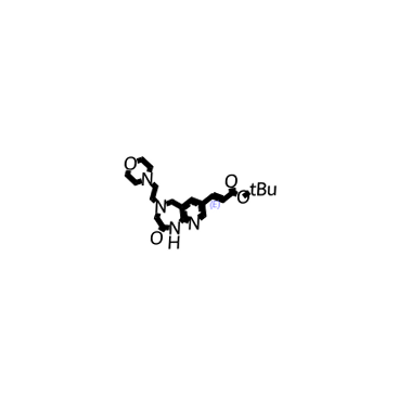 CC(C)(C)OC(=O)/C=C/c1cnc2c(c1)CN(CCN1CCOCC1)CC(=O)N2